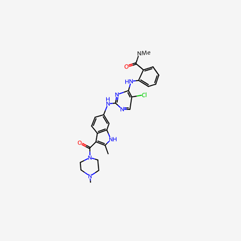 CNC(=O)c1ccccc1Nc1nc(Nc2ccc3c(C(=O)N4CCN(C)CC4)c(C)[nH]c3c2)ncc1Cl